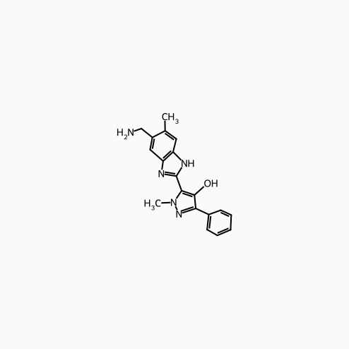 Cc1cc2[nH]c(-c3c(O)c(-c4ccccc4)nn3C)nc2cc1CN